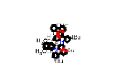 CC(C)(C)c1ccc(N2c3cc(C4c5ccc(F)cc5C5(C)CCCCC45C)ccc3B3c4cc5c(cc4N(c4ccc(C(C)(C)C)cc4-c4ccccc4)c4cc(C(C)(C)C)cc2c43)C(C)(C)CCC5(C)C)c(-c2ccccc2)c1